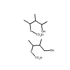 CC(CO)C(C)SC(=O)O.CCOC(=O)SC(C)C(C)C(C)O